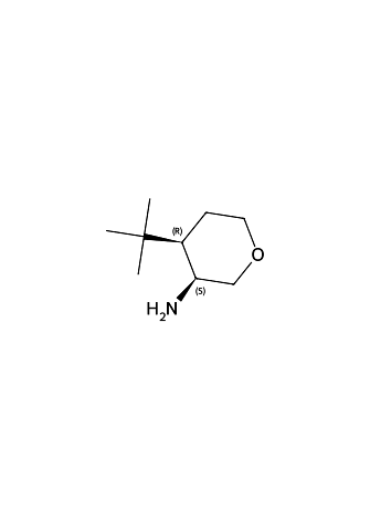 CC(C)(C)[C@H]1CCOC[C@H]1N